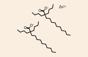 CCCCCCCCCCC(CCCC)(CCCC)C(=O)[O-].CCCCCCCCCCC(CCCC)(CCCC)C(=O)[O-].[Zn+2]